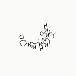 CC(Nc1nccc(N2C(=O)NC[C@@H]2C(C)C)n1)c1cn(-c2cccc(Cl)c2)cn1